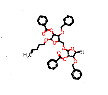 C=CCCCOC1OC(COC2OC(CC)C(OCc3ccccc3)C2OC(=O)c2ccccc2)C(OCc2ccccc2)C1OC(=O)c1ccccc1